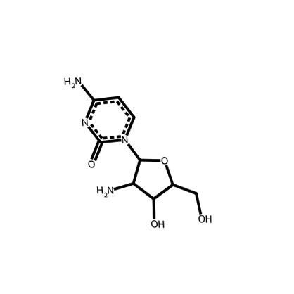 Nc1ccn(C2OC(CO)C(O)C2N)c(=O)n1